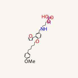 COc1ccc(CCCCCOc2ccc(CNCCCO[PH](=O)O)cc2-c2ccco2)cc1